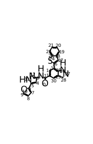 O=C(Nc1cc(-c2ccco2)[nH]n1)c1cc(-c2cc3ccccc3s2)c2[nH]ncc2c1